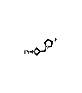 CC(C)N1CC(CN2CC[C@H](F)C2)C1